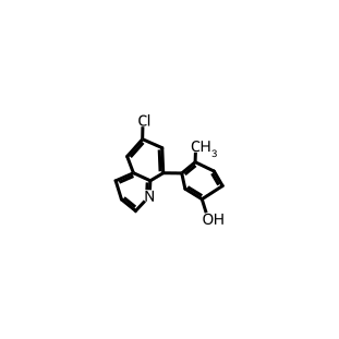 Cc1ccc(O)cc1-c1cc(Cl)cc2cccnc12